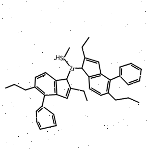 CCCc1ccc2c(c1-c1ccccc1)C=C(CC)[CH]2[Zr]([CH]1C(CC)=Cc2c1ccc(CCC)c2-c1ccccc1)[SiH](C)C